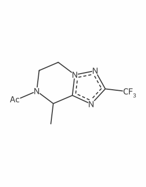 CC(=O)N1CCn2nc(C(F)(F)F)nc2C1C